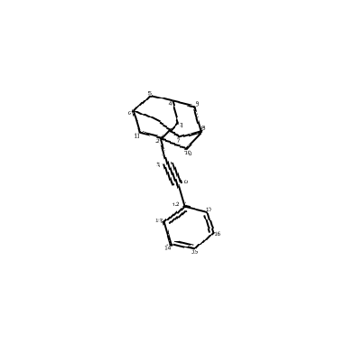 C(#CC12CC3CC(CC(C3)C1)C2)c1c[c]ccc1